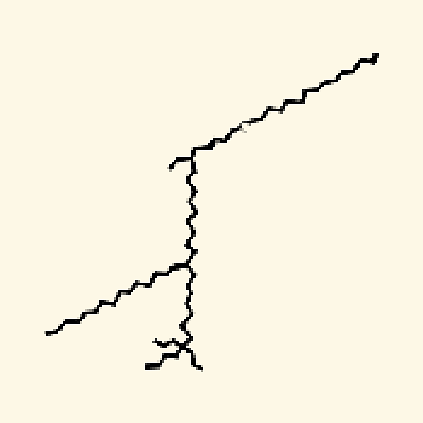 C=CCCCCCCCCCCCCCCCCC=CCC(CC)CCCCCCCCCC(=CCCCCCCCCCCCCCC)CCCCCCCC(CCC)(CCC)CCC=C